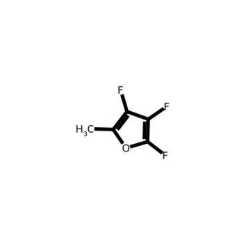 Cc1oc(F)c(F)c1F